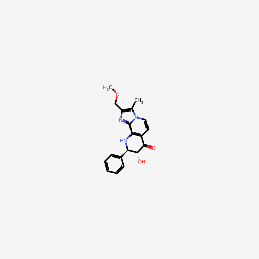 COCc1nc2c3c(ccn2c1C)C(=O)[C@H](O)[C@@H](c1ccccc1)N3